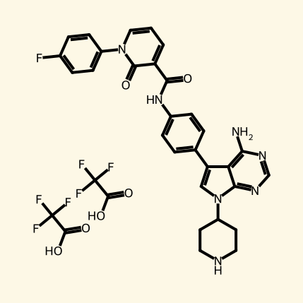 Nc1ncnc2c1c(-c1ccc(NC(=O)c3cccn(-c4ccc(F)cc4)c3=O)cc1)cn2C1CCNCC1.O=C(O)C(F)(F)F.O=C(O)C(F)(F)F